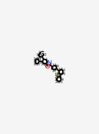 c1ccc(-c2cc3nc(-c4ccc(-c5cccc6c5sc5ccccc56)cc4)oc3cc2-c2ccccc2)cc1